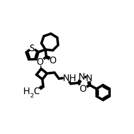 C=CC1C[C@H](OC(=O)C2(c3cccs3)CCCCCC2)C1CCNCc1nnc(-c2ccccc2)o1